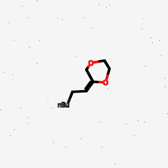 CCCCCC=C1COCCO1